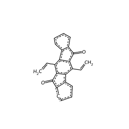 C=Cc1c2c(=O)c3ccccc3c2c(C=C)c2c(=O)c3ccccc3c12